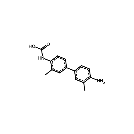 Cc1cc(-c2ccc(NC(=O)O)c(C)c2)ccc1N